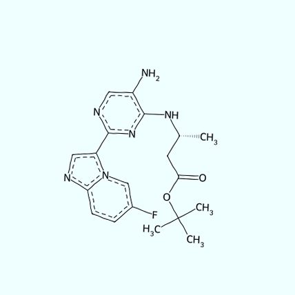 C[C@H](CC(=O)OC(C)(C)C)Nc1nc(-c2cnc3ccc(F)cn23)ncc1N